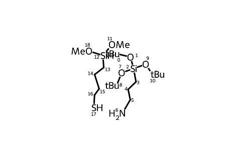 CC(C)(C)O[Si](CCCN)(OC(C)(C)C)OC(C)(C)C.CO[SiH](CCCCS)OC